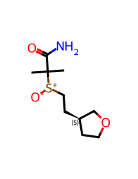 CC(C)(C(N)=O)[S+]([O-])CC[C@@H]1CCOC1